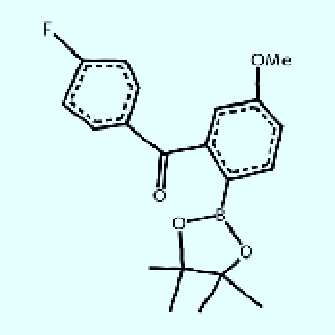 COc1ccc(B2OC(C)(C)C(C)(C)O2)c(C(=O)c2ccc(F)cc2)c1